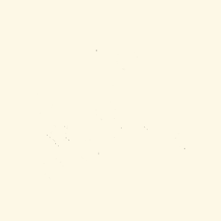 Cl.O=C(O)CCN1CCC2(CC1)COc1ccc(OCc3c(F)cccc3F)cc12.[Cl-].c1ccc(-c2nn(-c3ccccc3)[n+](-c3ccccc3)n2)cc1